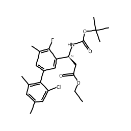 CCOC(=O)C[C@H](NC(=O)OC(C)(C)C)c1cc(-c2c(C)cc(C)cc2Cl)cc(C)c1F